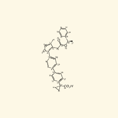 Cc1noc(-c2ccc(-c3ccc(C4(C(=O)O)CC4)cc3)cc2)c1CC(=O)O[C@H](C)c1ccccc1